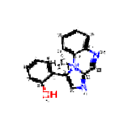 C[N+]12C(c3ccccc3O)=CN=C1C=Nc1ccccc12